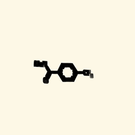 CNC(=O)c1ccc(C(F)(F)F)cc1